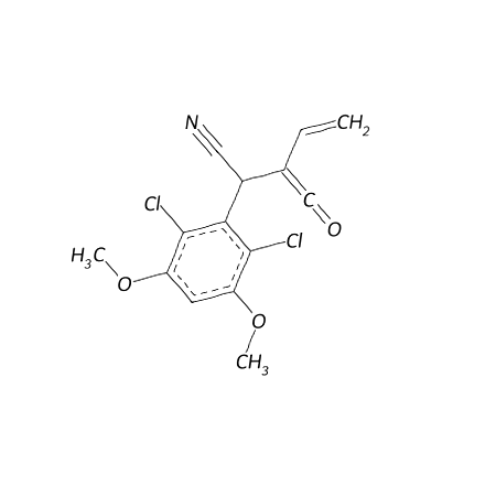 C=CC(=C=O)C(C#N)c1c(Cl)c(OC)cc(OC)c1Cl